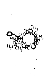 C[C@@H]1C[C@H]2C(=O)OC[C@H](NC(=O)[C@H](Cc3ccccc3)NC(=O)OC(C)(C)C)C(=O)N3CCC[C@H]3C(=O)N3CCCC[C@H]3C(=O)N[C@@H](C)C(=O)N2C1